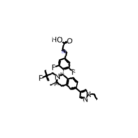 CCn1cc(-c2ccc3c(c2)C[C@@H](C)N(CC(C)(C)F)[C@@H]3c2c(F)cc(/C=C/C(=O)O)cc2F)cn1